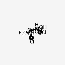 O=C(Cn1nc(-c2ccc(Cl)cc2)n(CCC(F)(F)F)c1=O)NC(CO)c1cccc(Cl)c1F